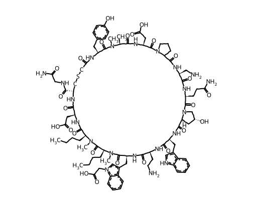 CCCC[C@H]1C(=O)N(C)[C@@H](CCCC)C(=O)N[C@@H](CC(=O)O)C(=O)N[C@H](C(=O)NCC(N)=O)CSCC(=O)N[C@@H](Cc2ccc(O)cc2)C(=O)N(C)[C@@H](C)C(=O)N[C@@H](CC(=O)O)C(=O)N2CCCC2C(=O)N[C@@H](CN)C(=O)N[C@@H](CCC(N)=O)C(=O)N2C[C@H](O)C[C@H]2C(=O)N[C@@H](Cc2c[nH]c3ccccc23)C(=O)N[C@@H](CCN)C(=O)N[C@@H](Cc2cn(CC(=O)O)c3ccccc23)C(=O)N1C